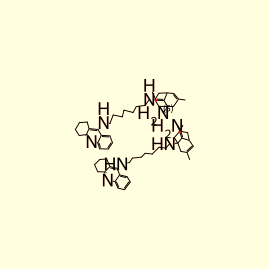 CC=C1C2C=C(C)CC1(NCCCCCCCNc1c3c(nc4ccccc14)CCCC3)CC(N)C2.CC=C1C2C=C(C)C[C@]1(N)CC(NCCCCCCCNc1c3c(nc4ccccc14)CCCC3)C2